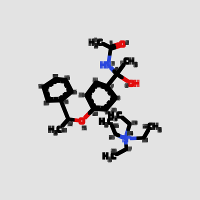 CC(=O)NC(C)(O)c1ccc(OC(C)c2ccccc2)cc1.CC[N+](CC)(CC)CC